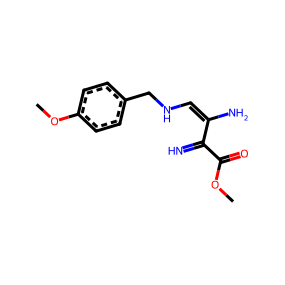 COC(=O)C(=N)/C(N)=C\NCc1ccc(OC)cc1